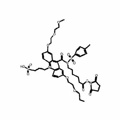 CCCOCCOc1ccc2c(c1)c(C(=O)N(CCCCCC(=O)ON1C(=O)CCC1=O)S(=O)(=O)c1ccc(C)cc1)c1cc(OCCOCCOC)ccc1[n+]2CCCS(=O)(=O)O